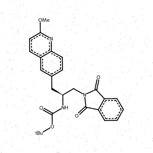 COc1ccc2cc(C[C@@H](CN3C(=O)c4ccccc4C3=O)NC(=O)OC(C)(C)C)ccc2n1